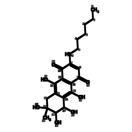 CCCCCCNC1=CC(=O)c2c(O)c3c(c(O)c2C1=O)CC(C)(O)C(O)C3O